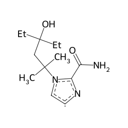 CCC(O)(CC)CC(C)(C)n1c[c]nc1C(N)=O